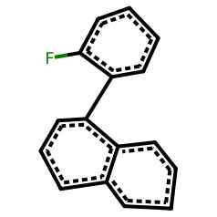 Fc1ccccc1-c1cccc2ccccc12